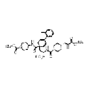 Cc1ccccc1C1=CCC(C[C@H](NC(=O)[C@H]2CC[C@H](CNC(=O)OC(C)(C)C)CC2)C(=O)O)(C(=O)NC2CCN(C(=O)OC(C)(C)C)CC2)C=C1